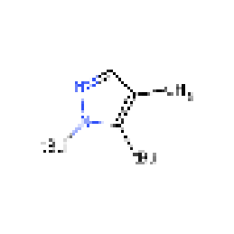 Cc1cnn(C(C)(C)C)c1C(C)(C)C